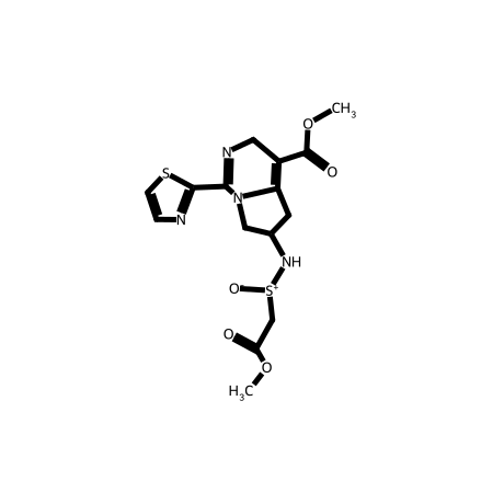 COC(=O)C[S+]([O-])NC1CC2=C(C(=O)OC)CN=C(c3nccs3)N2C1